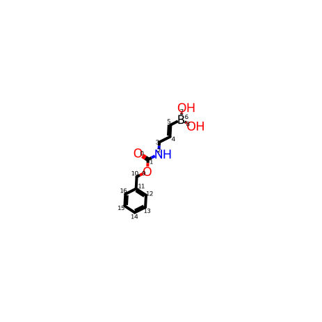 O=C(NCC=CB(O)O)OCc1ccccc1